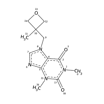 Cn1c(=O)c2c(ncn2CC2(C)COC2)n(C)c1=O